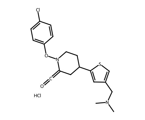 CN(C)Cc1csc(C2CCN(Oc3ccc(Cl)cc3)C(=C=O)C2)c1.Cl